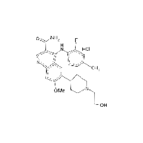 COc1cc2ncc(C(N)=O)c(Nc3ccc(C)cc3F)c2cc1C1CCN(CCO)CC1.Cl